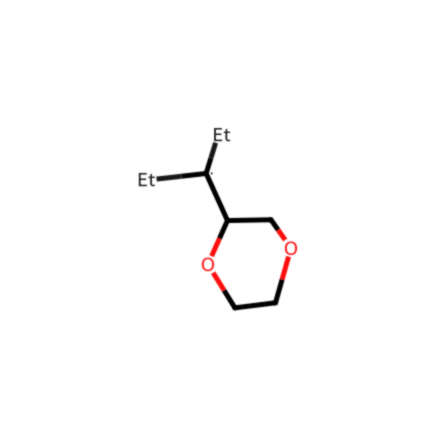 CC[C](CC)C1COCCO1